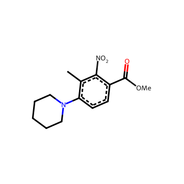 COC(=O)c1ccc(N2CCCCC2)c(C)c1[N+](=O)[O-]